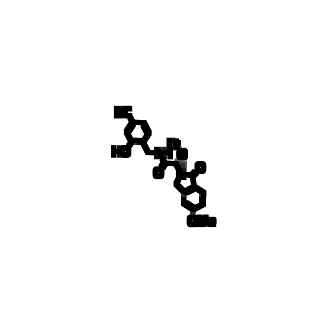 CCO[C@@H](C(=O)NCc1ccc(C#N)cc1O)N1Cc2cc(OC)ccc2C1=O